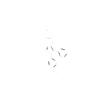 CCCCc1ccc(-n2ncc(CN3CCOCC3)c2-c2ccccc2F)cc1